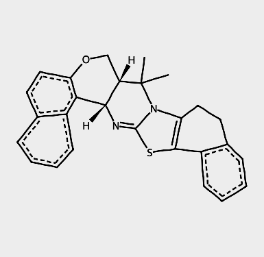 CC1(C)[C@H]2COc3ccc4ccccc4c3[C@H]2N=C2SC3=C(CCc4ccccc43)N21